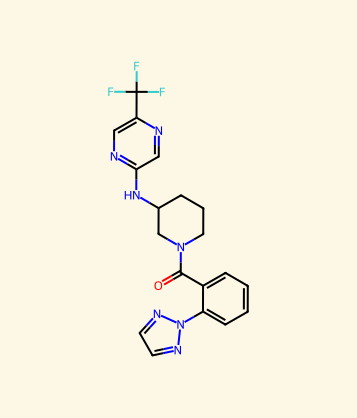 O=C(c1ccccc1-n1nccn1)N1CCCC(Nc2cnc(C(F)(F)F)cn2)C1